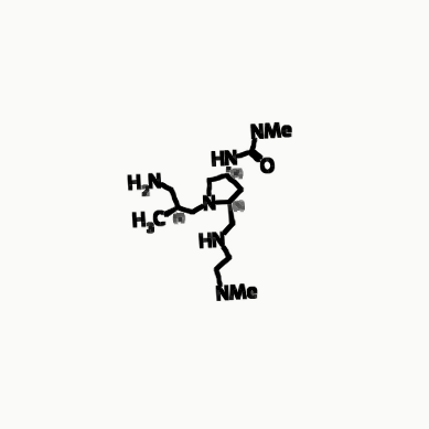 CNCCNC[C@@H]1C[C@@H](NC(=O)NC)CN1C[C@@H](C)CN